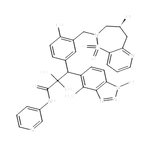 CC[C@H]1Cc2ncccc2S(=O)(=O)N(Cc2cc(C(c3ccc4c(nnn4CC)c3C)C(C)(C)C(=O)Nc3cccnc3)ccc2C)C1